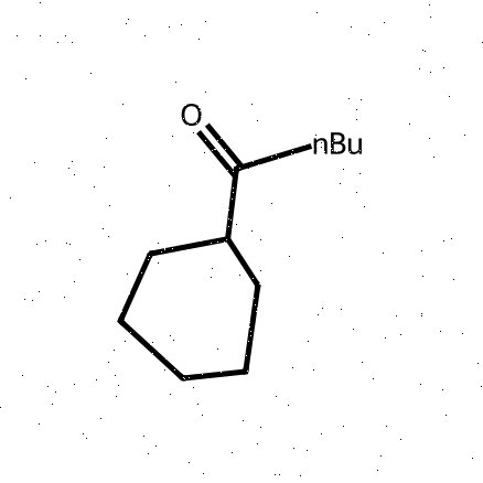 [CH2]CCCC(=O)C1CCCCC1